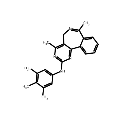 CC1=NCc2c(C)nc(Nc3cc(C)c(C)c(C)c3)nc2-c2ccccc21